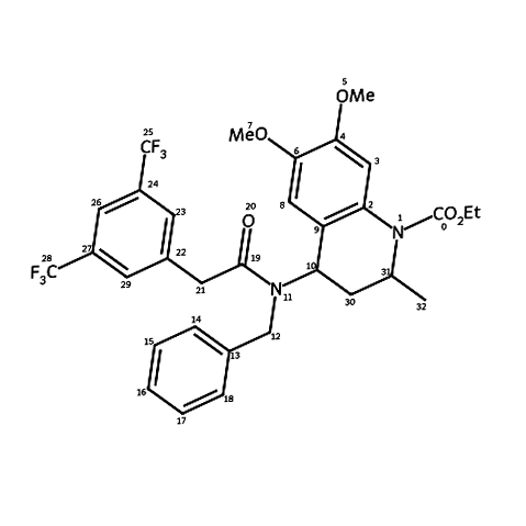 CCOC(=O)N1c2cc(OC)c(OC)cc2C(N(Cc2ccccc2)C(=O)Cc2cc(C(F)(F)F)cc(C(F)(F)F)c2)CC1C